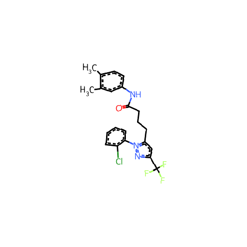 Cc1ccc(NC(=O)CCCc2cc(C(F)(F)F)nn2-c2ccccc2Cl)cc1C